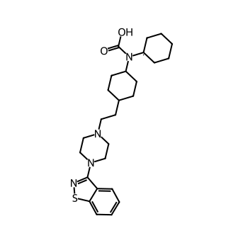 O=C(O)N([C]1CCCCC1)C1CCC(CCN2CCN(c3nsc4ccccc34)CC2)CC1